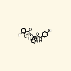 O=C(NC[C@H]1[C@H](C(=O)Nc2ccc(Br)cc2)[C@@H]2C=C[C@H]1C21CC1)c1cccc(F)c1Cl